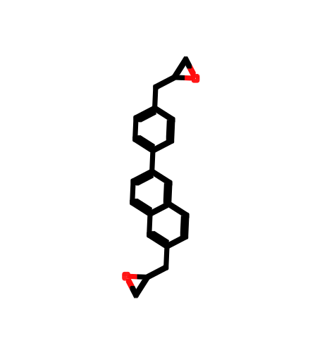 c1cc(-c2ccc3cc(CC4CO4)ccc3c2)ccc1CC1CO1